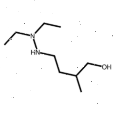 CCN(CC)NCCC(C)CO